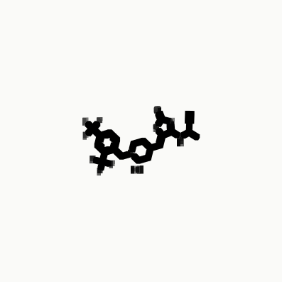 C#CC(C)NC1=NC(=O)S/C1=C\C1CCN(Cc2ccc(C(F)(F)F)cc2C(F)(F)F)CC1.Cl